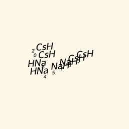 [CsH].[CsH].[CsH].[CsH].[NaH].[NaH].[NaH].[NaH]